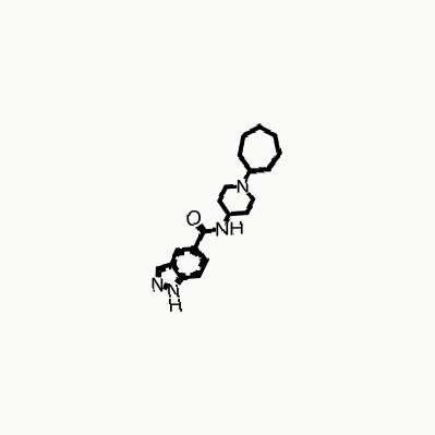 O=C(NC1CCN(C2CCCCCC2)CC1)c1ccc2[nH]ncc2c1